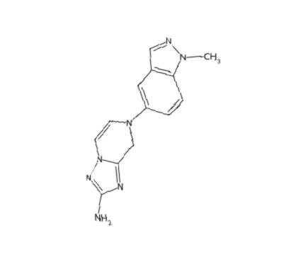 Cn1ncc2cc(N3C=Cn4nc(N)nc4C3)ccc21